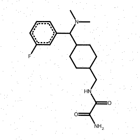 CN(C)C(c1cccc(F)c1)C1CCC(CNC(=O)C(N)=O)CC1